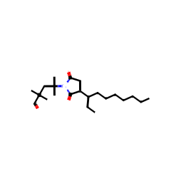 CCCCCCCC(CC)C1CC(=O)N(C(C)(C)CC(C)(C)C=O)C1=O